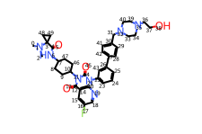 CN(C)C1(C(=O)NC2CCC(n3c(=O)c4cc(F)cnc4n(-c4cccc(-c5ccc(CN6CCN(CCO)CC6)cc5)c4)c3=O)CC2)CC1